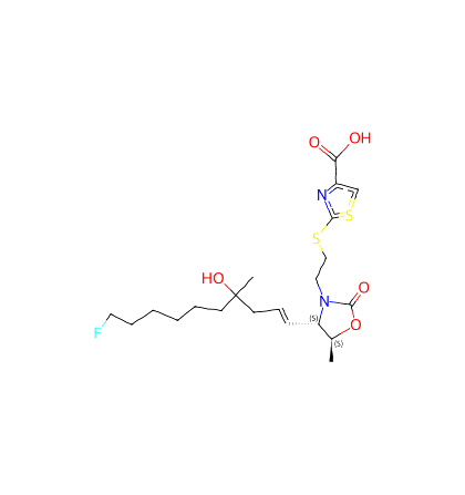 C[C@@H]1OC(=O)N(CCSc2nc(C(=O)O)cs2)[C@H]1C=CCC(C)(O)CCCCCCF